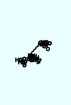 CN(CCCCCCCCCNC[C@H](O[Si](C)(C)C(C)(C)C)c1ccc(O)c2[nH]c(=O)ccc12)Cc1cnc(C(c2ccccc2O)C2CCCCC2)o1